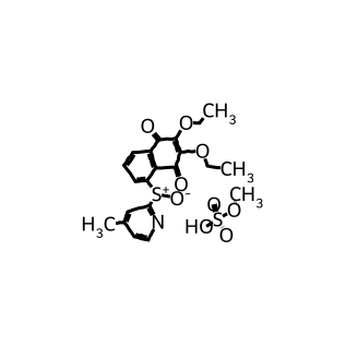 CCOC1=C(OCC)C(=O)c2c(cccc2[S+]([O-])c2cc(C)ccn2)C1=O.COS(=O)(=O)O